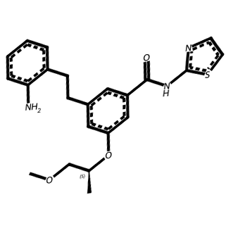 COC[C@H](C)Oc1cc(CCc2ccccc2N)cc(C(=O)Nc2nccs2)c1